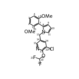 COc1cccc(OC)c1-c1cccn1Cc1cnc(OC(F)F)c(Cl)c1